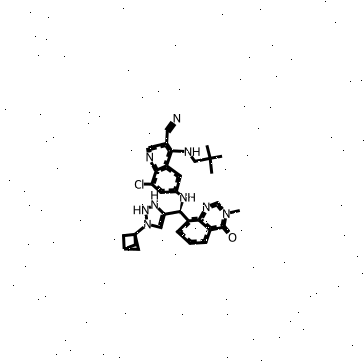 Cn1cnc2c([C@H](Nc3cc(Cl)c4ncc(C#N)c(NCC(C)(C)C)c4c3)C3=CN(C45CC(C4)C5)NN3)cccc2c1=O